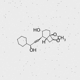 CO[C@]12CC[C@@H](O)[C@H](C#C[C@@H](O)C3CCCCC3)[C@H]1CC2=O